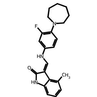 Cc1cccc2c1C(=CNc1ccc(N3CCCCCC3)c(F)c1)C(=O)N2